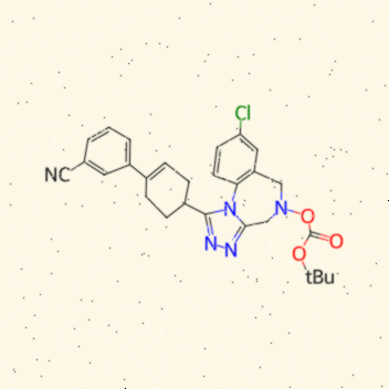 CC(C)(C)OC(=O)ON1Cc2cc(Cl)ccc2-n2c(nnc2C2CC=C(c3cccc(C#N)c3)CC2)C1